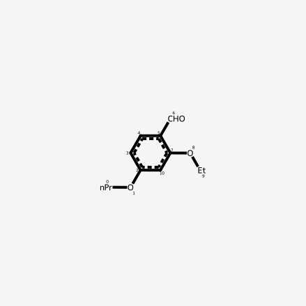 CCCOc1ccc(C=O)c(OCC)c1